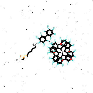 CCCCCC[PH2+]CC.Fc1c(F)c(F)c(-c2c(F)c(F)c(F)c(F)c2F)c(F)c1F.Fc1cc2c(c(F)c1F)-c1c(F)c(F)c(F)c(F)c1C2[B-](C1c2cc(F)c(F)c(F)c2-c2c(F)c(F)c(F)c(F)c21)(C1c2cc(F)c(F)c(F)c2-c2c(F)c(F)c(F)c(F)c21)C1c2cc(F)c(F)c(F)c2-c2c(F)c(F)c(F)c(F)c21